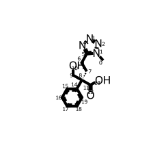 Cn1nnnc1CC[C@](CO)(C(=O)O)c1ccccc1